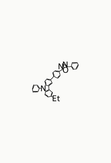 CCc1ccc2c(c1)c1cc(-c3ccc(-c4nnc(-c5ccccc5)o4)cc3)ccc1n2-c1ccccc1